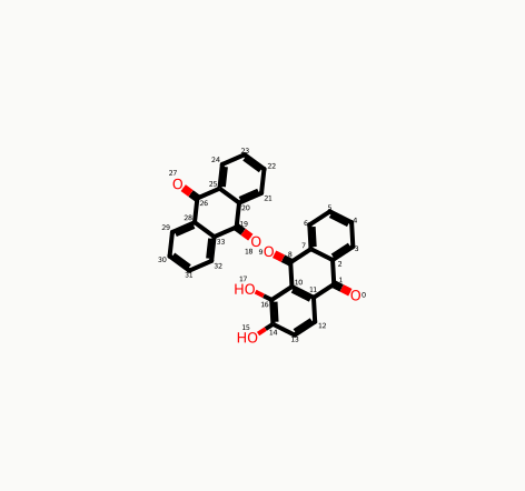 O=C1c2ccccc2C(=O)c2c1ccc(O)c2O.O=C1c2ccccc2C(=O)c2ccccc21